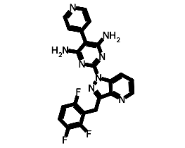 Nc1nc(-n2nc(Cc3c(F)ccc(F)c3F)c3ncccc32)nc(N)c1-c1ccncc1